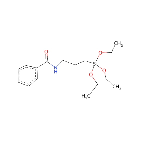 CCO[Si](CCCNC(=O)c1ccccc1)(OCC)OCC